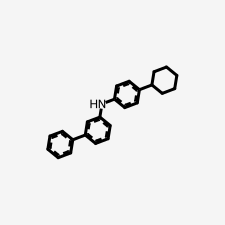 c1ccc(-c2cccc(Nc3ccc(C4CCCCC4)cc3)c2)cc1